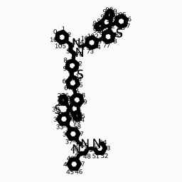 c1ccc(-c2cc(-c3ccc4c(c3)sc3cc(-c5ccc6c(c5)C5(c7ccccc7Sc7ccc(-c8ccc(-c9nc(-c%10ccccc%10)cc(-c%10ccccn%10)n9)cc8)cc75)c5ccccc5-6)ccc34)nc(-c3ccc(-c4ccc5c(c4)C4(c6ccccc6S5)c5ccccc5-c5ccccc54)cc3)n2)cc1